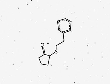 O=C1CCCC1SCCc1ccccc1